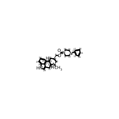 CN1C[C@H](COC(=O)N2CCN(c3ccccc3)CC2)C[C@@H]2c3cccc4[nH]cc(c34)C[C@H]21